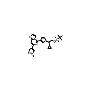 Cn1cc(-c2cc3nccn3c(-c3cnn(C(CO[Si](C)(C)C(C)(C)C)C4CC4)c3)n2)cn1